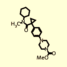 COC(=O)N1CCN(c2ccc(C3(C(=O)N(C)C4CCCCC4)CC3)cc2)CC1